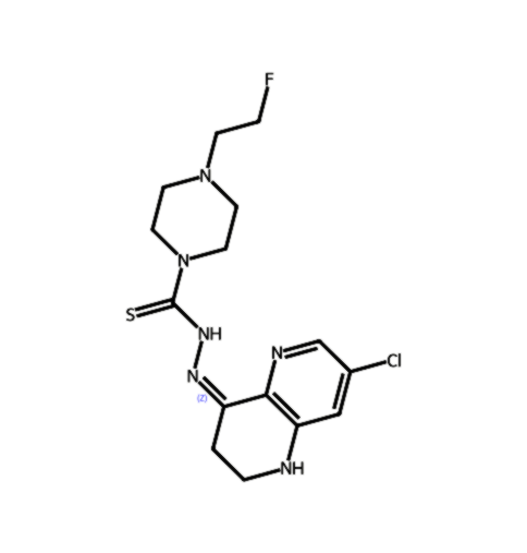 FCCN1CCN(C(=S)N/N=C2/CCNc3cc(Cl)cnc32)CC1